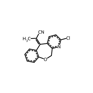 CC(C#N)=C1c2ccccc2OCc2nc(Cl)ccc21